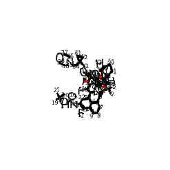 CC(C)[Si](C#Cc1cccc2c(F)c(NC(=O)OC(C)(C)C)cc(-c3nc4c5c(nc(OCC6(CN7CCOCC7)CC6)nc5c3F)N3C[C@H]5CC[C@@H]([C@H]3[C@H](C)O4)N5C(=O)OC(C)(C)C)c12)(C(C)C)C(C)C